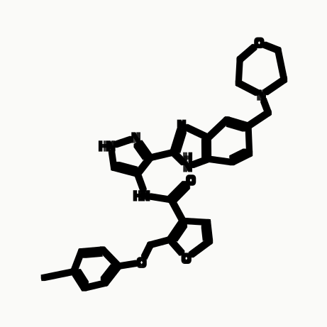 Cc1ccc(OCc2occc2C(=O)Nc2c[nH]nc2-c2nc3cc(CN4CCOCC4)ccc3[nH]2)cc1